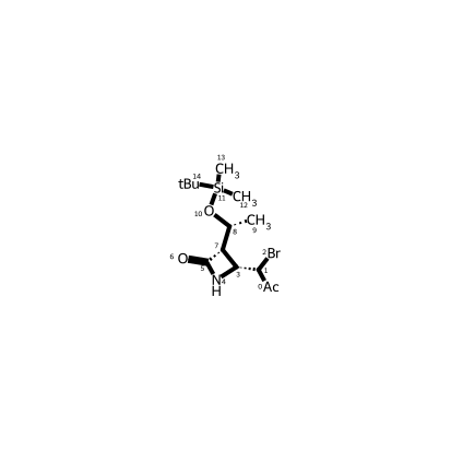 CC(=O)C(Br)[C@@H]1NC(=O)[C@@H]1[C@@H](C)O[Si](C)(C)C(C)(C)C